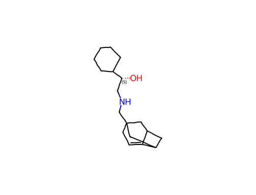 O[C@H](CNCC12CC=C3C(CC3C1)C2)C1CCCCC1